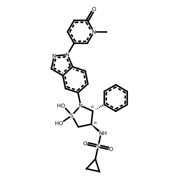 Cn1cc(-n2ncc3cc(N4[C@H](c5ccccc5)[C@@H](NS(=O)(=O)C5CC5)CS4(O)O)ccc32)ccc1=O